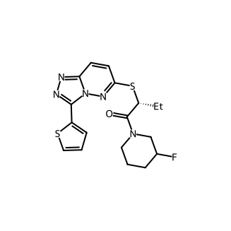 CC[C@@H](Sc1ccc2nnc(-c3cccs3)n2n1)C(=O)N1CCCC(F)C1